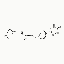 O=C(COc1ccc(C2=NNC(=O)NC2)cc1)NCCN1CCNCC1